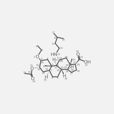 CCO[C@H]1C[C@@]2(C)[C@@H](CC[C@@H]3[C@@H]2[C@H](NCCC(C)C)C[C@]2(C)[C@@H](C(=O)O)CC[C@@H]32)C[C@@H]1OC(C)=O